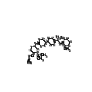 C#CCOC1CCC(CN2CCC(C3CCN(CCN4C(C)CCCC4C)CC3)CC2)CC1C(C)C